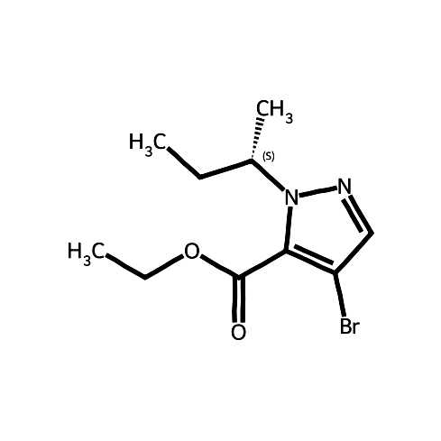 CCOC(=O)c1c(Br)cnn1[C@@H](C)CC